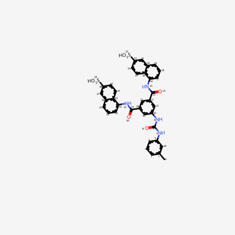 Cc1cccc(NC(=O)Nc2cc(C(=O)Nc3cccc4cc(S(=O)(=O)O)ccc34)cc(C(=O)Nc3cccc4cc(S(=O)(=O)O)ccc34)c2)c1